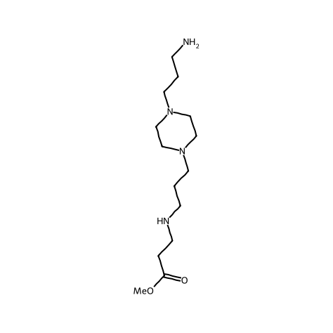 COC(=O)CCNCCCN1CCN(CCCN)CC1